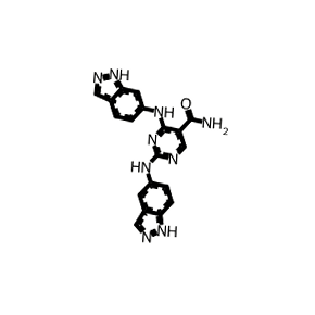 NC(=O)c1cnc(Nc2ccc3[nH]ncc3c2)nc1Nc1ccc2cn[nH]c2c1